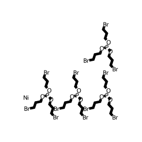 BrCCCOP(OCCCBr)OCCCBr.BrCCCOP(OCCCBr)OCCCBr.BrCCCOP(OCCCBr)OCCCBr.BrCCCOP(OCCCBr)OCCCBr.[Ni]